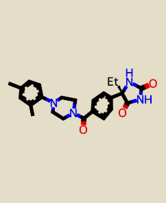 CC[C@@]1(c2ccc(C(=O)N3CCN(c4ccc(C)cc4C)CC3)cc2)NC(=O)NC1=O